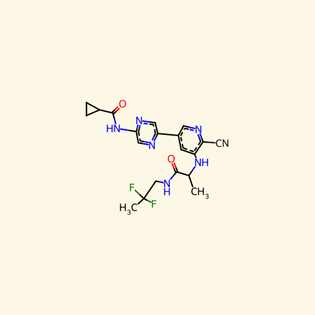 CC(Nc1cc(-c2cnc(NC(=O)C3CC3)cn2)cnc1C#N)C(=O)NCC(C)(F)F